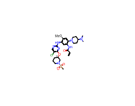 C=CC(=O)Nc1cc(Nc2ncc(Cl)c(O[C@@H]3CCCN(S(C)(=O)=O)C3)n2)c(OC)cc1N1CCC(N(C)C)CC1